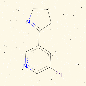 Ic1cncc(C2=NCCC2)c1